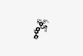 COc1cc(OC)cc(N(Cc2ncc[nH]2)c2ccc3ncc(-c4ccncc4)cc3c2)c1